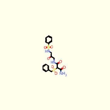 NC(=O)C(C(=O)NCC(=O)CNS(=O)(=O)c1ccccc1)S(=O)(=O)Cc1ccccc1